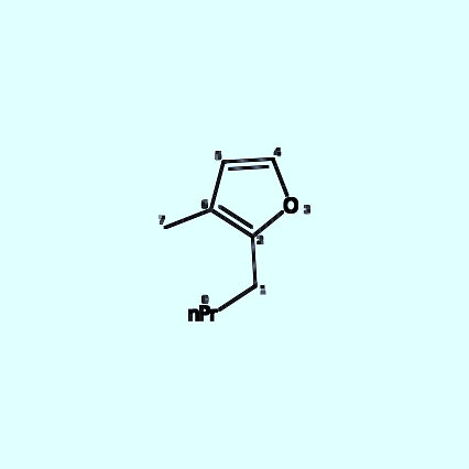 CCCCc1occc1C